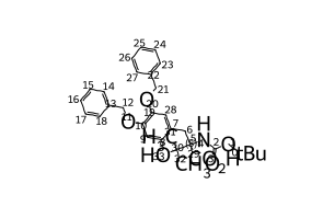 CC(C)(C)OC(=O)N[C@](Cc1ccc(OCc2ccccc2)c(OCc2ccccc2)c1)(C(=O)O)C(C)(C)O